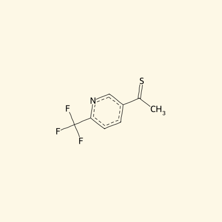 CC(=S)c1ccc(C(F)(F)F)nc1